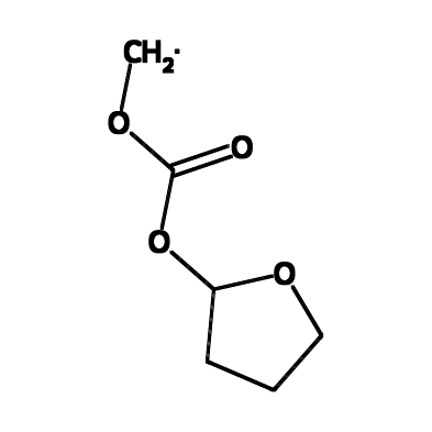 [CH2]OC(=O)OC1CCCO1